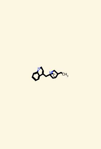 CCC1CN2CCC1CC2Cc1ccnc2ccccc12